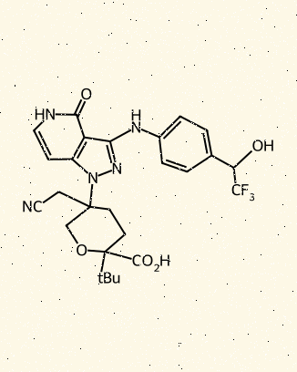 CC(C)(C)C1(C(=O)O)CCC(CC#N)(n2nc(Nc3ccc(C(O)C(F)(F)F)cc3)c3c(=O)[nH]ccc32)CO1